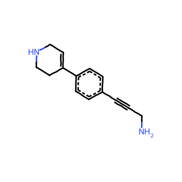 NCC#Cc1ccc(C2=CCNCC2)cc1